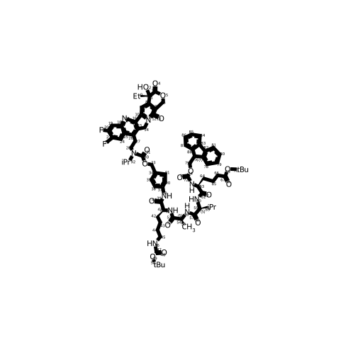 CC[C@@]1(O)C(=O)OCc2c1cc1n(c2=O)Cc2c-1nc1cc(F)c(F)cc1c2CCN(C(=O)OCc1ccc(NC(=O)[C@H](CCCCNC(=O)OC(C)(C)C)NC(=O)[C@H](C)NC(=O)[C@@H](NC(=O)[C@H](CCCC(=O)OC(C)(C)C)NC(=O)OCC2c3ccccc3-c3ccccc32)C(C)C)cc1)C(C)C